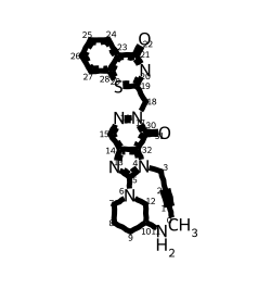 CC#CCn1c(N2CCCC(N)C2)nc2cnn(Cc3nc(=O)c4ccccc4s3)c(=O)c21